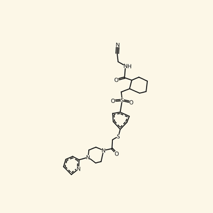 N#CCNC(=O)C1CCCCC1CS(=O)(=O)c1ccc(SCC(=O)N2CCN(c3ccccn3)CC2)cc1